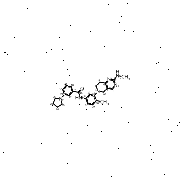 CNc1ncc2c(n1)CCN(c1cc(NC(=O)c3cccc(N4CCCC4)c3)ccc1C)C2